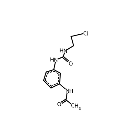 CC(=O)Nc1cccc(NC(=O)NCCCl)c1